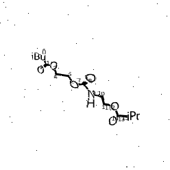 CCC(C)C(=O)OCCOC(=O)NCCOC(=O)C(C)C